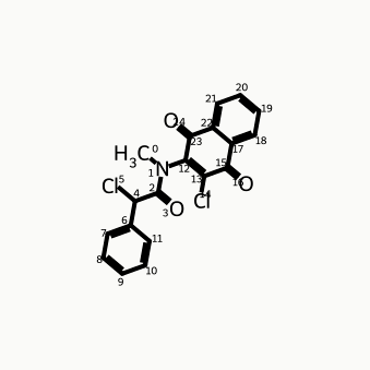 CN(C(=O)C(Cl)c1ccccc1)C1=C(Cl)C(=O)c2ccccc2C1=O